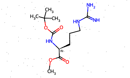 COC(=O)[C@H](CCCNC(=N)N)NC(=O)OC(C)(C)C